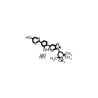 CC1(C)CC(n2nnc3cc(-c4ccc(-c5ncc(O)cn5)cc4O)nnc32)CC(C)(C)N1.Cl.Cl